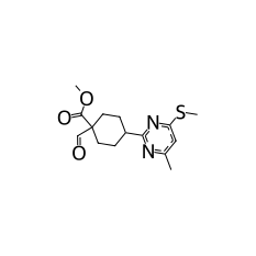 COC(=O)C1(C=O)CCC(c2nc(C)cc(SC)n2)CC1